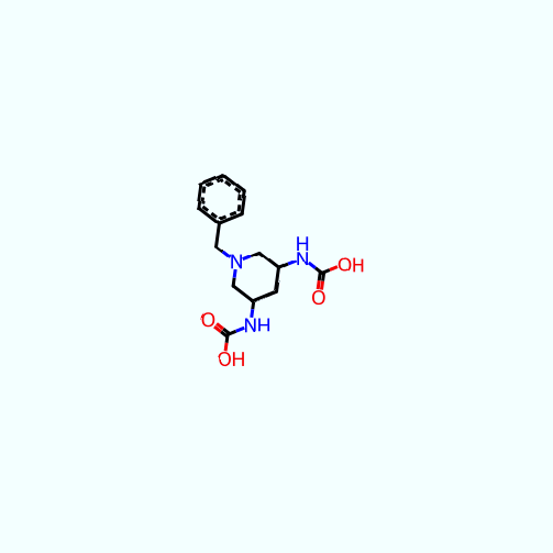 O=C(O)NC1CC(NC(=O)O)CN(Cc2ccccc2)C1